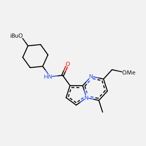 COCc1cc(C)n2ccc(C(=O)NC3CCC(OCC(C)C)CC3)c2n1